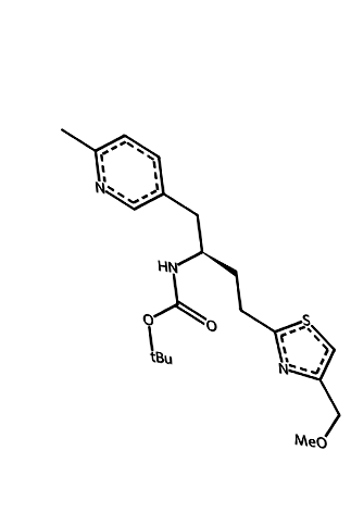 COCc1csc(CC[C@H](Cc2ccc(C)nc2)NC(=O)OC(C)(C)C)n1